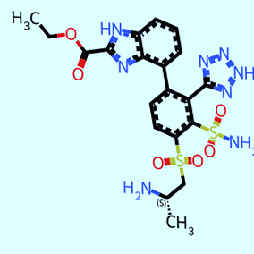 CCOC(=O)c1nc2c(-c3ccc(S(=O)(=O)C[C@H](C)N)c(S(N)(=O)=O)c3-c3nn[nH]n3)cccc2[nH]1